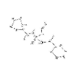 C=CCP(=O)(OC(C)C1CCCCC1)OC(C)C1CCCCC1